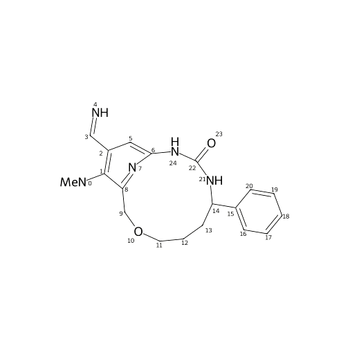 CNc1c(C=N)cc2nc1COCCCC(c1ccccc1)NC(=O)N2